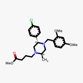 COC(=O)CCCN1C[C@H](c2ccc(Cl)cc2)N(Cc2ccc(OC)cc2OC)C[C@H]1C